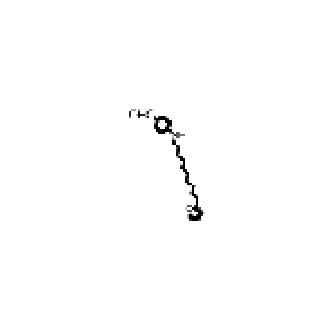 O=Cc1ccc(NCCCCCCCC/C=C/c2cccs2)cc1